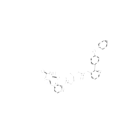 O=C1NC(=O)/C(=C\c2ccnc(N3CCC(CNCc4cccnc4-c4ccc(Oc5ccccc5)cc4)CC3)n2)S1